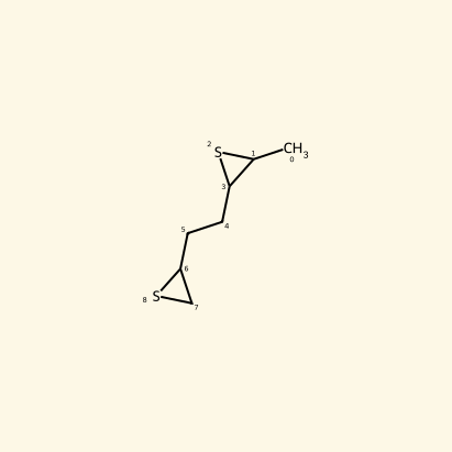 CC1SC1CCC1CS1